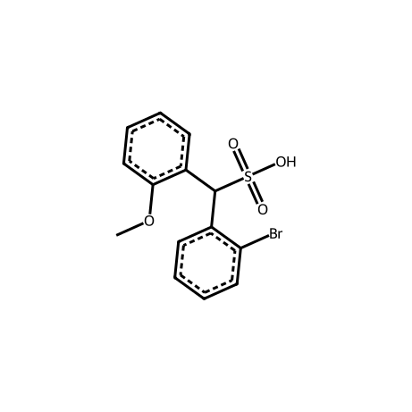 COc1ccccc1C(c1ccccc1Br)S(=O)(=O)O